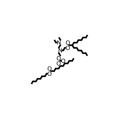 CCCCCCCCOC(=O)CCCC(CCCCCC)OC(=O)OCCN(CCOC(=O)C(CCCCCCC)CCCCCCC)CCN(CC)CC